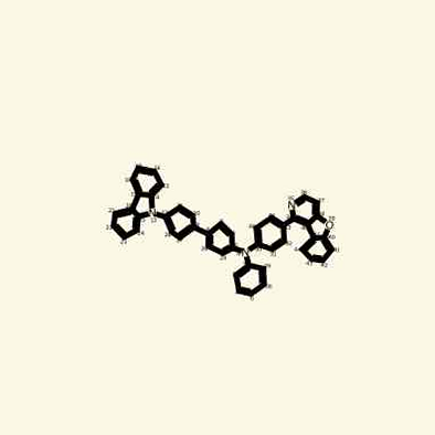 c1ccc(N(c2ccc(-c3ccc(-n4c5ccccc5c5ccccc54)cc3)cc2)c2ccc(-c3nccc4oc5ccccc5c34)cc2)cc1